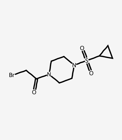 O=C(CBr)N1CCN(S(=O)(=O)C2CC2)CC1